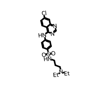 CCN(CC)CCCNS(=O)(=O)c1ccc(Nc2ncnc3cc(Cl)ccc23)cc1